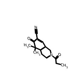 CCC(=O)N1CCC2C(C=C(C#N)C(=O)C2(C)C)C1